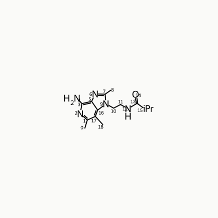 Cc1nc(N)c2nc(C)n(CCNC(=O)C(C)C)c2c1C